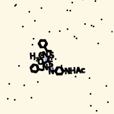 CC(=O)Nc1ccc(/N=C2\S/C(=C3\SC=C(c4ccccc4)N3C)C(=O)N2Cc2ccccc2)cc1